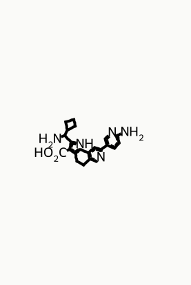 Nc1ccc(-c2cc3c(cn2)CCc2c-3[nH]c(C(N)C3CCC3)c2C(=O)O)cn1